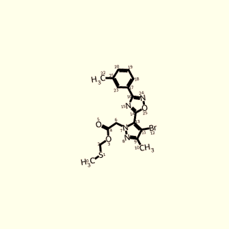 CSCOC(=O)Cn1nc(C)c(Br)c1-c1nc(-c2cccc(C)c2)no1